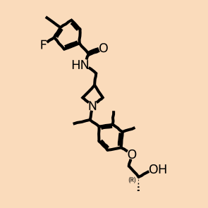 Cc1ccc(C(=O)NCC2CN(C(C)c3ccc(OC[C@@H](C)O)c(C)c3C)C2)cc1F